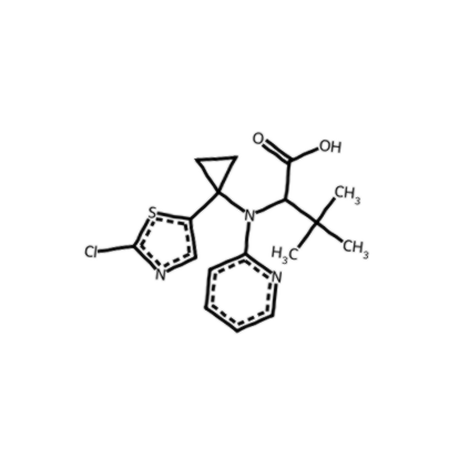 CC(C)(C)C(C(=O)O)N(c1ccccn1)C1(c2cnc(Cl)s2)CC1